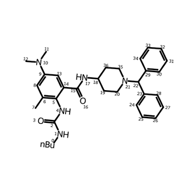 CCCCNC(=O)Nc1c(C)cc(N(C)C)cc1C(=O)NC1CCN(C(c2ccccc2)c2ccccc2)CC1